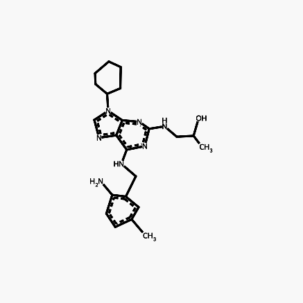 Cc1ccc(N)c(CNc2nc(NCC(C)O)nc3c2ncn3C2CCCCC2)c1